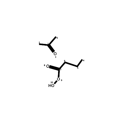 CC(C)=O.CCCC(=O)OO